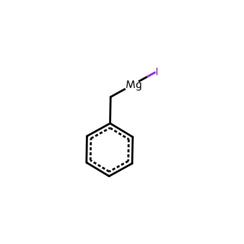 [I][Mg][CH2]c1ccccc1